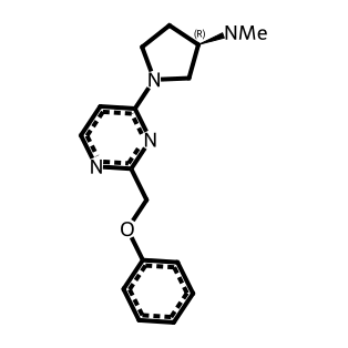 CN[C@@H]1CCN(c2ccnc(COc3ccccc3)n2)C1